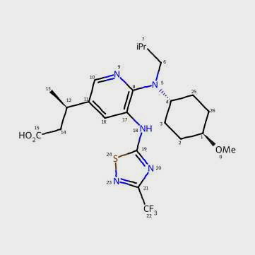 CO[C@H]1CC[C@H](N(CC(C)C)c2ncc([C@H](C)CC(=O)O)cc2Nc2nc(C(F)(F)F)ns2)CC1